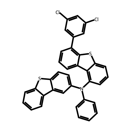 Clc1cc(Cl)cc(-c2cccc3c2sc2cccc(N(c4ccccc4)c4ccc5sc6ccccc6c5c4)c23)c1